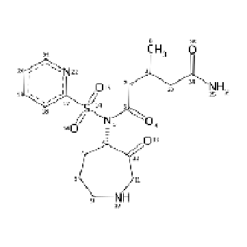 CC([CH]C(=O)N([C@H]1CCCNCC1=O)S(=O)(=O)c1ccccn1)CC(N)=O